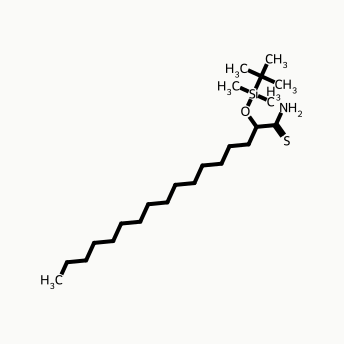 CCCCCCCCCCCCCCCC(O[Si](C)(C)C(C)(C)C)C(N)=S